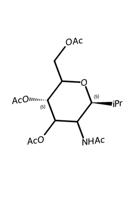 CC(=O)NC1C(OC(C)=O)[C@H](OC(C)=O)C(COC(C)=O)O[C@H]1C(C)C